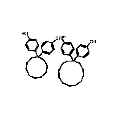 Oc1ccc(C2(c3ccc(O)cc3)CCCCCCCCC2)cc1.Oc1ccc(C2(c3ccc(O)cc3)CCCCCCCCCCC2)cc1